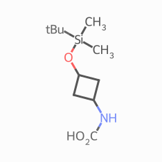 CC(C)(C)[Si](C)(C)OC1CC(NC(=O)O)C1